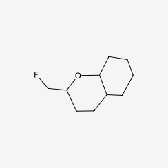 FCC1CCC2CCCCC2O1